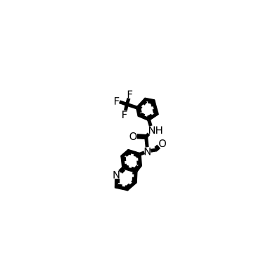 O=CN(C(=O)Nc1cccc(C(F)(F)F)c1)c1ccc2ncccc2c1